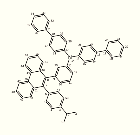 CC(C)c1ccc(-c2c(-c3cccc(N(c4ccc(-c5ccccc5)cc4)c4ccc(-c5ccccc5)cc4)c3)c3ccccc3c3ccccc23)cc1